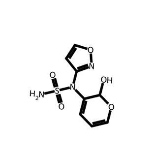 NS(=O)(=O)N(C1=CC=COC1O)c1ccon1